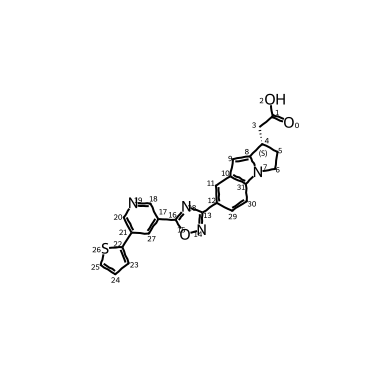 O=C(O)C[C@@H]1CCn2c1cc1cc(-c3noc(-c4cncc(-c5cccs5)c4)n3)ccc12